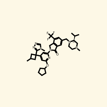 CC1CC(c2cc(OC3CCCC3)nc(N3Cc4c(cc(CN5CCN(C)C[C@@H]5C(C)C)cc4C(F)(F)F)C3=O)c2)(c2nncn2C)C1